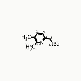 Cc1ccc(CC(C)(C)C)nc1C